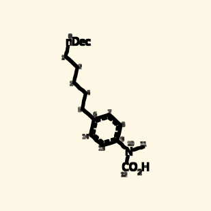 CCCCCCCCCCCCCCCc1ccc(N(C)C(=O)O)cc1